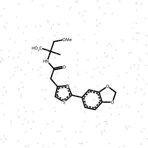 COCC(C)(NC(=O)Cc1csc(-c2ccc3c(c2)OCO3)n1)C(=O)O